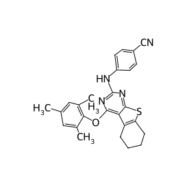 Cc1cc(C)c(Oc2nc(Nc3ccc(C#N)cc3)nc3sc4c(c23)CCCC4)c(C)c1